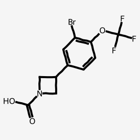 O=C(O)N1CC(c2ccc(OC(F)(F)F)c(Br)c2)C1